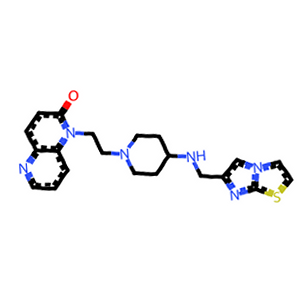 O=c1ccc2ncccc2n1CCN1CCC(NCc2cn3ccsc3n2)CC1